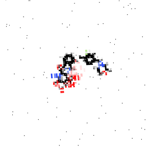 BC1(B)c2c(OCc3ccc(CN4CCOCC4)cc3F)cccc2C(=O)N1C1(B)C(=C)NC(=O)C(O)(O)C1(O)O